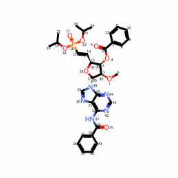 CO[C@@H]1[C@H](OC(=O)c2ccccc2)[C@H](C=CP(=O)(OC(C)C)OC(C)C)O[C@H]1n1cnc2c(NC(=O)c3ccccc3)ncnc21